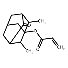 C=CC(=O)OC12CC3CC(C(=O)C(C3)C1C)C2C